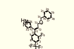 Fc1cc(C(F)(F)F)ccc1/C(=C/COCc1ccccc1)c1cn[nH]c1